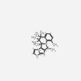 Cc1cccc2c1N1[C@@H](C)c3nc4occn4c3C1(C)C(C)(C)C2(C)C